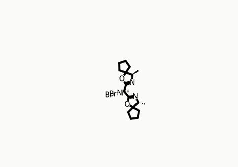 C[C@H]1N=C(CC2=N[C@H](C)C3(CCCC3)O2)OC12CCCC2.[Br-].[Br-].[Ni+2]